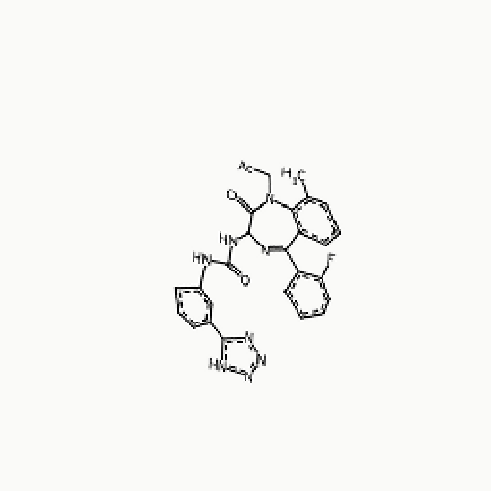 CC(=O)CN1C(=O)C(NC(=O)Nc2cccc(-c3nnn[nH]3)c2)N=C(c2ccccc2F)c2cccc(C)c21